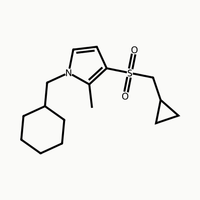 Cc1c(S(=O)(=O)CC2CC2)ccn1CC1CCCCC1